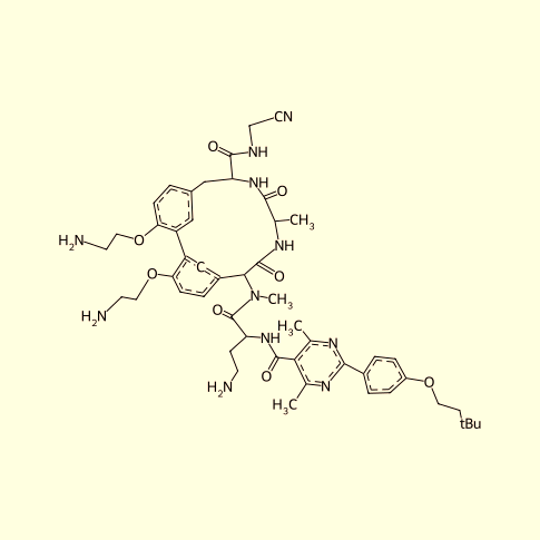 Cc1nc(-c2ccc(OCCC(C)(C)C)cc2)nc(C)c1C(=O)NC(CCN)C(=O)N(C)C1C(=O)NC(C)C(=O)NC(C(=O)NCC#N)Cc2ccc(OCCN)c(c2)-c2cc1ccc2OCCN